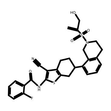 C=C(CO)S(=O)(=O)N1CCc2cccc(C3CCc4c(sc(NC(=O)c5ccccc5F)c4C#N)C3)c2C1